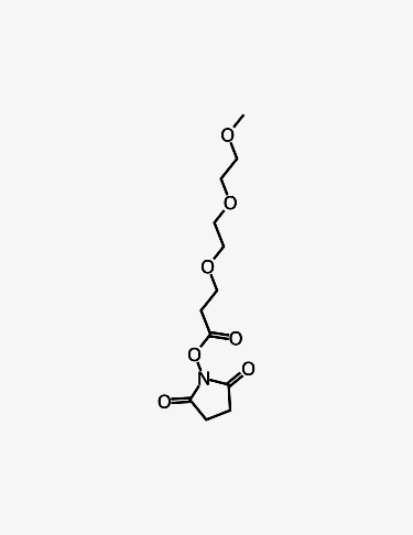 COCCOCCOCCC(=O)ON1C(=O)CCC1=O